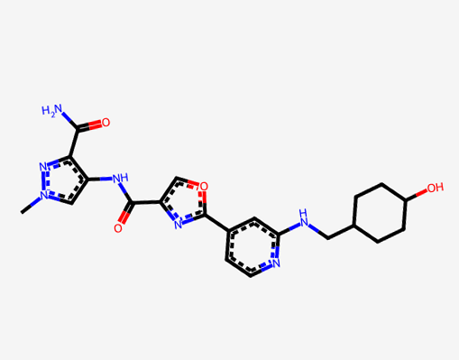 Cn1cc(NC(=O)c2coc(-c3ccnc(NCC4CCC(O)CC4)c3)n2)c(C(N)=O)n1